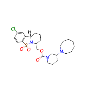 O=C(OC[C@H]1CCC[C@H]2c3cc(Cl)ccc3S(=O)(=O)N12)N1CCCC(N2CCCCCCC2)C1